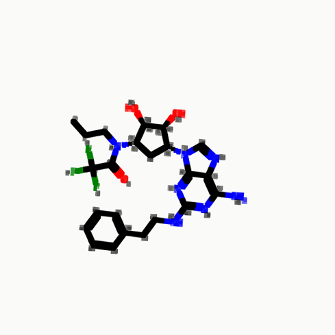 CCCN(C(=O)C(F)(F)F)[C@H]1C[C@@H](n2cnc3c(N)nc(NCCc4ccccc4)nc32)[C@H](O)[C@@H]1O